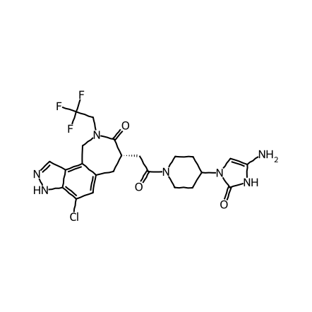 Nc1cn(C2CCN(C(=O)C[C@@H]3Cc4cc(Cl)c5[nH]ncc5c4CN(CC(F)(F)F)C3=O)CC2)c(=O)[nH]1